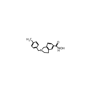 Cc1ccc(CN2CCc3cc(C(=O)NO)ccc3C2)cc1